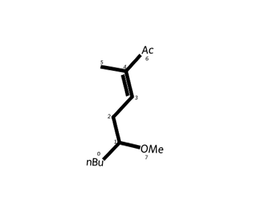 CCCCC(CC=C(C)C(C)=O)OC